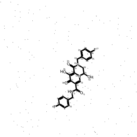 O=C(NCc1ccc(F)cc1)c1cn2c(c(O)c1=O)C(=O)N(Cc1ccc(F)cc1)CC2O